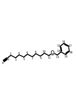 C#CCCCCCCCCCCOCc1ccccc1